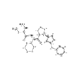 CC[C@H](NC)C(=O)N[C@H](C(=O)N1CCC[C@H]1c1nnn(Cc2ccccc2)n1)C1CCCCC1